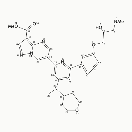 CNCC(O)COc1cccc(-c2nc(-c3cnc4c(C(=O)OC)cnn4c3)cc(N(C)C3CCOCC3)n2)c1